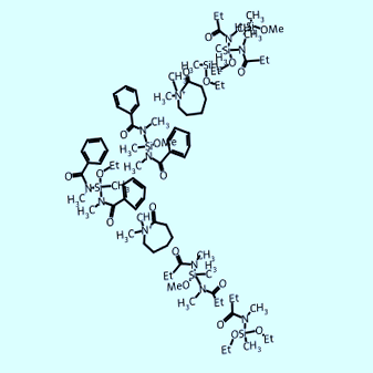 CCC(=O)N(C)[Si](C)(OC)N(C)C(=O)CC.CCO[SiH2]C.CCO[Si](C)(N(C)C(=O)CC)N(C)C(=O)CC.CCO[Si](C)(N(C)C(=O)c1ccccc1)N(C)C(=O)c1ccccc1.CCO[Si](C)(OCC)N(C)C(=O)CC.CO[SiH2]C.CO[Si](C)(N(C)C(=O)c1ccccc1)N(C)C(=O)c1ccccc1.C[N+]1(C)CCCCCC1=O.C[N+]1(C)CCCCCC1=O